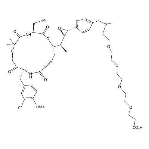 COc1ccc(C[C@H]2NC(=O)/C=C/C[C@@H]([C@H](C)[C@H]3O[C@@H]3c3ccc(CN(C)CCOCCOCCOCCOCCC(=O)O)cc3)OC(=O)[C@H](CC(C)C)NC(=O)C(C)(C)CCC2=O)cc1Cl